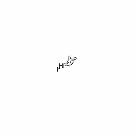 I[PH]1=P2=PC21